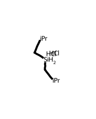 CC(C)C[SiH2]CC(C)C.Cl.Cl